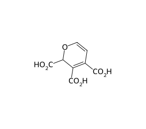 O=C(O)C1=C(C(=O)O)C(C(=O)O)OC=C1